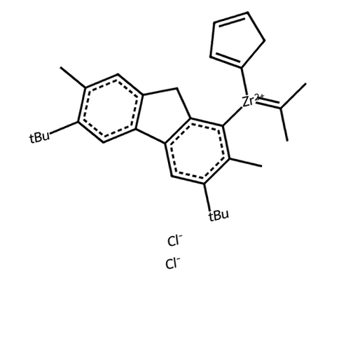 C[C](C)=[Zr+2]([C]1=CC=CC1)[c]1c(C)c(C(C)(C)C)cc2c1Cc1cc(C)c(C(C)(C)C)cc1-2.[Cl-].[Cl-]